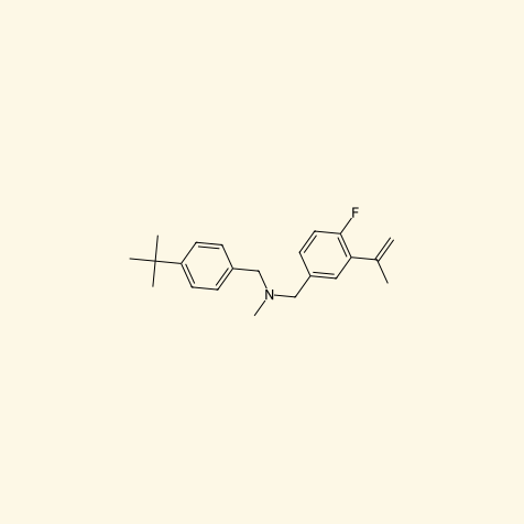 C=C(C)c1cc(CN(C)Cc2ccc(C(C)(C)C)cc2)ccc1F